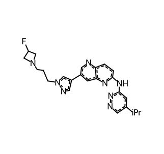 CC(C)c1cnnc(Nc2ccc3ncc(-c4cnn(CCCN5CC(F)C5)c4)cc3n2)c1